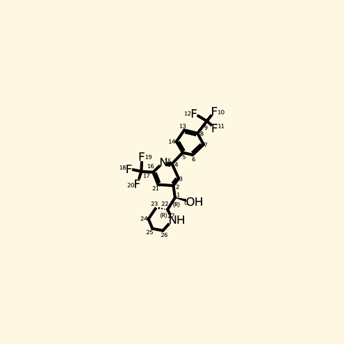 O[C@H](c1cc(-c2ccc(C(F)(F)F)cc2)nc(C(F)(F)F)c1)[C@H]1CCCCN1